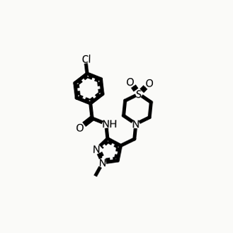 Cn1cc(CN2CCS(=O)(=O)CC2)c(NC(=O)c2ccc(Cl)cc2)n1